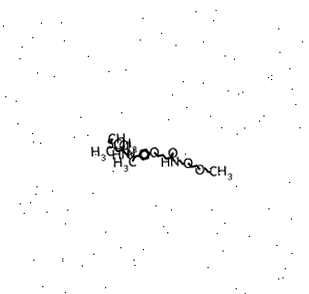 CCCOCCOCCNC(=O)CCCOc1ccc(/C(C)=N/NC(=O)CC(C)(C)SC)cc1